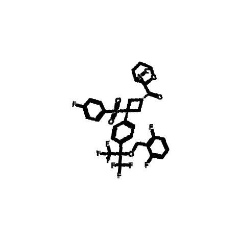 O=C([C@H]1C[C@@](c2ccc(C(OCc3c(F)cccc3F)(C(F)(F)F)C(F)(F)F)cc2)(S(=O)(=O)c2ccc(F)cc2)C1)N1CC2CCC1CO2